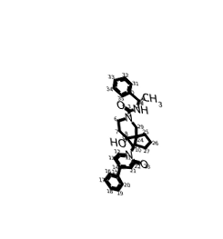 C[C@H](NC(=O)N1CC[C@@](O)(Cn2ccc(-c3ccccc3)cc2=O)C2(CCCC2)C1)c1ccccc1